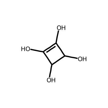 OC1=C(O)C(O)C1O